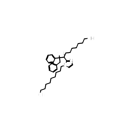 CCCCCCCCCCn1ccnc1C(CCCCCCCC)C(C)(Cc1ccccc1)c1ccccc1